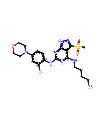 CS(=O)(=O)c1n[nH]c2nc(Nc3ccc(N4CCOCC4)cc3C(F)(F)F)nc(NCCCCN)c12